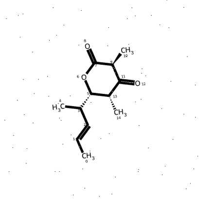 C/C=C/C(C)[C@@H]1OC(=O)[C@@H](C)C(=O)[C@@H]1C